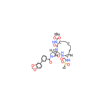 CC(C)(C)OC(=O)N[C@@H]1CCCCC/C=C\[C@@H]2C[C@@]2(C(=O)NS(=O)(=O)C2CC2)NC(=O)[C@@H]2[C@H]3CN(C(=O)c4cccc(-c5ccc6c(c5)OCO6)c4)C[C@H]3CN2C1=O